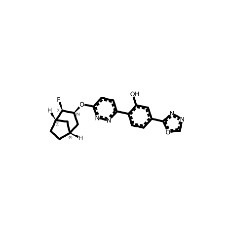 Oc1cc(-c2nnco2)ccc1-c1ccc(O[C@H]2C[C@@H]3CC[C@@H](C3)[C@H]2F)nn1